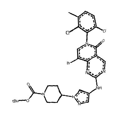 Cc1ccc(Cl)c(-n2cc(Br)c3nc(Nc4cnn(C5CCN(C(=O)OC(C)(C)C)CC5)c4)ncc3c2=O)c1Cl